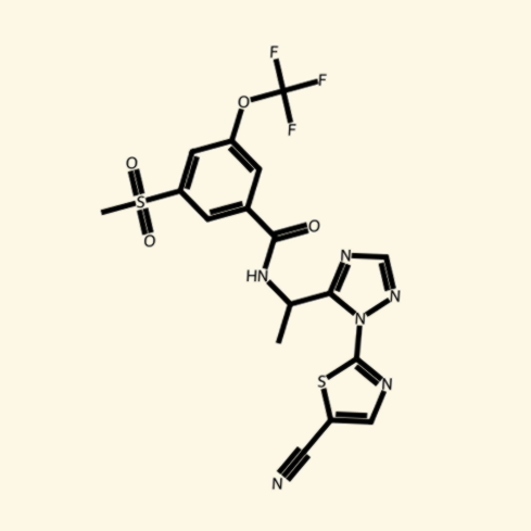 CC(NC(=O)c1cc(OC(F)(F)F)cc(S(C)(=O)=O)c1)c1ncnn1-c1ncc(C#N)s1